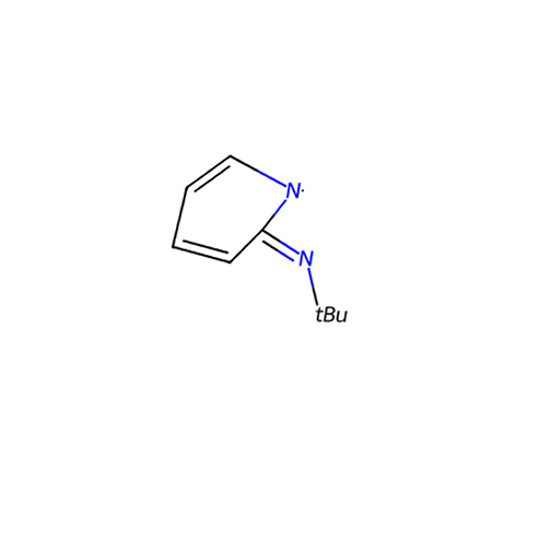 CC(C)(C)N=C1C=CC=C[N]1